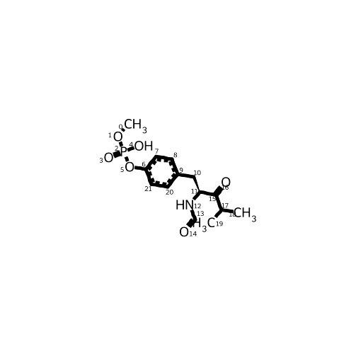 COP(=O)(O)Oc1ccc(C[C@H](NC=O)C(=O)C(C)C)cc1